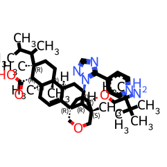 CC(C)C(C)[C@@]1(C)CC[C@]2(C)[C@H]3CC[C@@H]4[C@@]5(COC[C@@]4(C)[C@@H](OCC(C)(N)C(C)(C)C)[C@H](n4ncnc4-c4ccncc4)C5)C3=CC[C@@]2(C)[C@@H]1C(=O)O